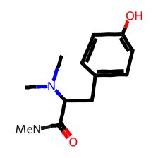 CNC(=O)C(Cc1ccc(O)cc1)N(C)C